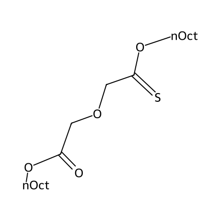 CCCCCCCCOC(=O)COCC(=S)OCCCCCCCC